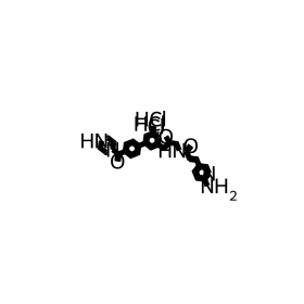 Cl.Cl.Nc1ccc(/C=C/C(=O)NCC2Cc3cc(-c4ccc(C(=O)N5CCNCC5)cc4)cc(Cl)c3O2)cn1